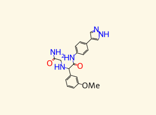 COc1cccc(C(NCC(N)=O)C(=O)Nc2ccc(-c3cn[nH]c3)cc2)c1